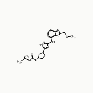 COCc1nc2ccnc(Nc3cc(C4CCC(OC(=O)NC(C)C)C4)[nH]n3)c2s1